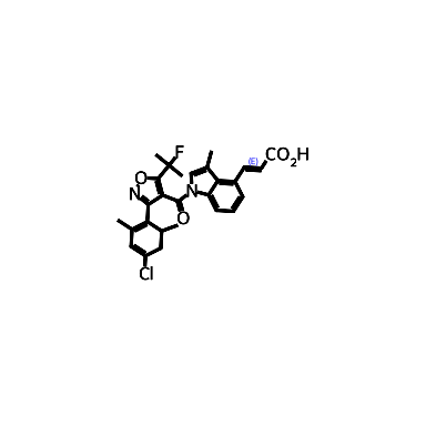 CC1=C(c2noc(C(C)(C)F)c2C(=O)n2cc(C)c3c(/C=C/C(=O)O)cccc32)C(C)CC(Cl)=C1